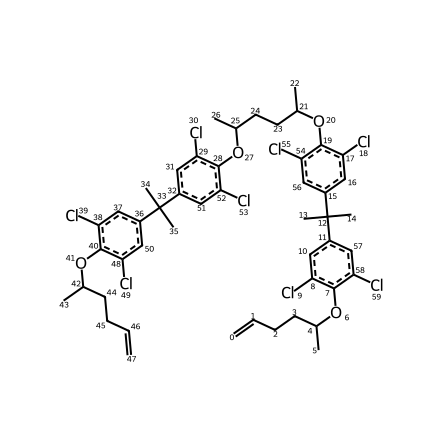 C=CCCC(C)Oc1c(Cl)cc(C(C)(C)c2cc(Cl)c(OC(C)CCC(C)Oc3c(Cl)cc(C(C)(C)c4cc(Cl)c(OC(C)CCC=C)c(Cl)c4)cc3Cl)c(Cl)c2)cc1Cl